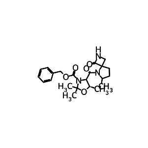 CC1CCC2(CNC2=O)N1C(=O)C1[C@@H](C)OC(C)(C)N1C(=O)OCc1ccccc1